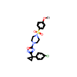 CCOc1ccc(S(=O)(=O)N2CCN(c3nc(C4(c5ccc(Cl)cc5)CC4)no3)CC2)cc1